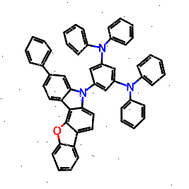 c1ccc(-c2ccc3c4c5oc6ccccc6c5ccc4n(-c4cc(N(c5ccccc5)c5ccccc5)cc(N(c5ccccc5)c5ccccc5)c4)c3c2)cc1